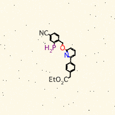 CCOC(=O)Cc1ccc(-c2cccc(OCc3ccc(C#N)cc3P)n2)cc1